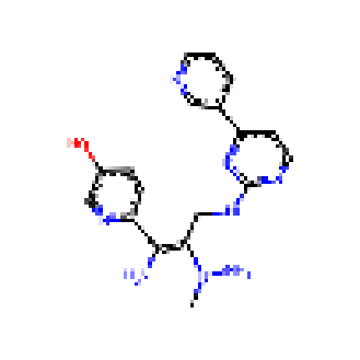 CN(N)/C(CNc1nccc(-c2cccnc2)n1)=C(\N)c1ccc(O)cn1